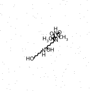 Cn1c(CCCCC(O)CNCCCCCCO)nc2c1c(=O)[nH]c(=O)n2C